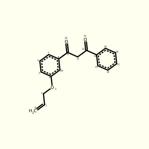 C=CCOc1cccc(C(=O)CC(=O)c2ccccc2)c1